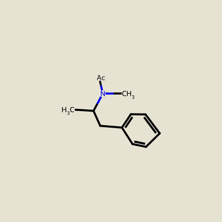 CC(=O)N(C)C(C)Cc1ccccc1